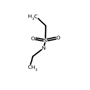 CC[N]S(=O)(=O)CC